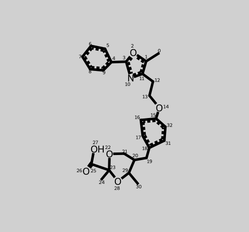 Cc1oc(-c2ccccc2)nc1CCOc1ccc(CC2COC(C)(C(=O)O)OC2C)cc1